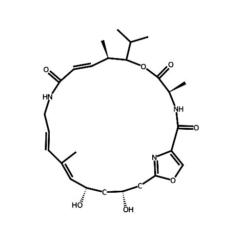 CC1=C\[C@@H](O)C[C@@H](O)Cc2nc(co2)C(=O)N[C@H](C)C(=O)OC(C(C)C)[C@H](C)/C=C/C(=O)NC\C=C\1